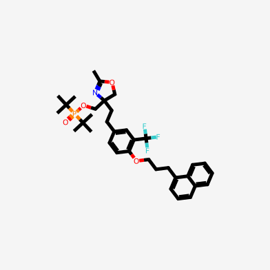 CC1=NC(CCc2ccc(OCCCc3cccc4ccccc34)c(C(F)(F)F)c2)(COP(=O)(C(C)(C)C)C(C)(C)C)CO1